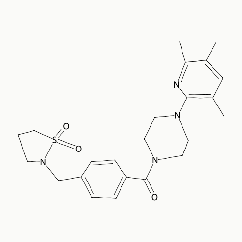 Cc1cc(C)c(N2CCN(C(=O)c3ccc(CN4CCCS4(=O)=O)cc3)CC2)nc1C